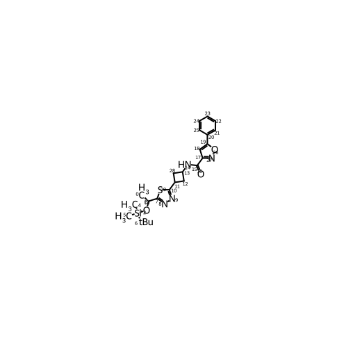 C[C@H](O[Si](C)(C)C(C)(C)C)c1nnc(C2CC(NC(=O)c3cc(-c4ccccc4)on3)C2)s1